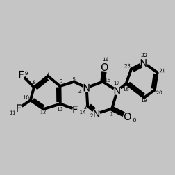 O=c1ncn(Cc2cc(F)c(F)cc2F)c(=O)n1-c1cccnc1